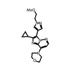 COCCn1cc(-c2c(C3CC3)nc3c(N4CCOCC4)ccnn23)cn1